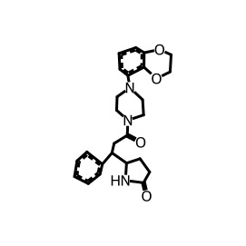 O=C1CCC(C(CC(=O)N2CCN(c3cccc4c3OCCO4)CC2)c2ccccc2)N1